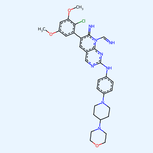 COc1cc(OC)c(Cl)c(-c2cc3cnc(Nc4ccc(N5CCC(N6CCOCC6)CC5)cc4)nc3n(C=N)c2=N)c1